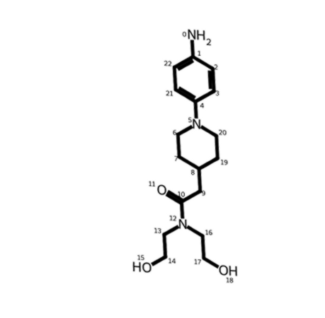 Nc1ccc(N2CCC(CC(=O)N(CCO)CCO)CC2)cc1